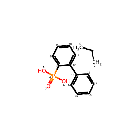 CCC.O=P(O)(O)c1ccccc1-c1ccccc1